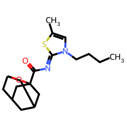 CCCCn1cc(C)s/c1=N\C(=O)C12CC3CC(CC(C3)O1)C2